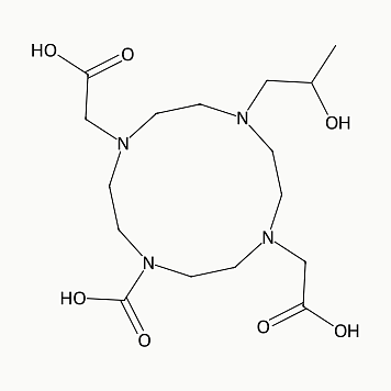 CC(O)CN1CCN(CC(=O)O)CCN(C(=O)O)CCN(CC(=O)O)CC1